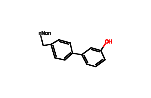 CCCCCCCCCCc1ccc(-c2cccc(O)c2)cc1